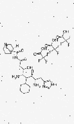 NC(C(O)CC(=O)NC(=O)[C@@H]1CN2CCC1CC2)C(C(=O)[C@@H](N)Cc1c[nH]cn1)C1CCCCC1.O=C(O)C(F)(F)F.O=C(O)C(F)(F)F.O=C(O)C(F)(F)F